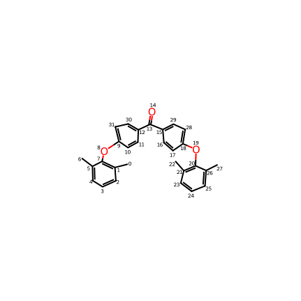 Cc1cccc(C)c1Oc1ccc(C(=O)c2ccc(Oc3c(C)cccc3C)cc2)cc1